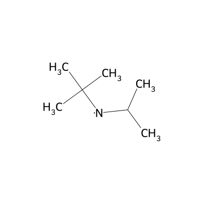 CC(C)[N]C(C)(C)C